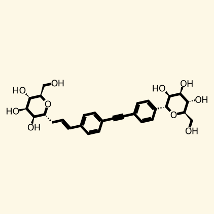 OC[C@H]1O[C@H](C/C=C/c2ccc(C#Cc3ccc([C@H]4O[C@H](CO)[C@@H](O)[C@H](O)[C@@H]4O)cc3)cc2)[C@@H](O)[C@@H](O)[C@@H]1O